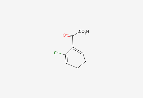 O=C(O)C(=O)C1=[C]CCC=C1Cl